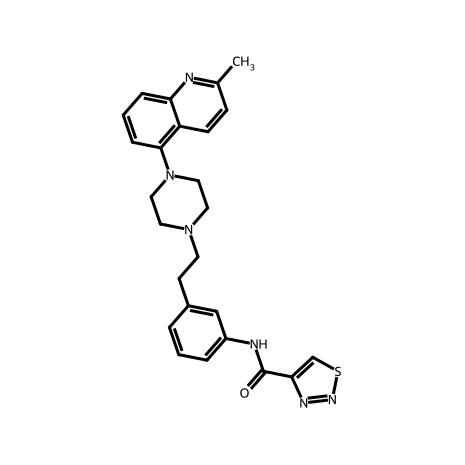 Cc1ccc2c(N3CCN(CCc4cccc(NC(=O)c5csnn5)c4)CC3)cccc2n1